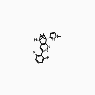 Cn1ccc([C@]23CC[C@@H](c4cc(-c5c(F)cccc5F)nnc42)C3(C)C)n1